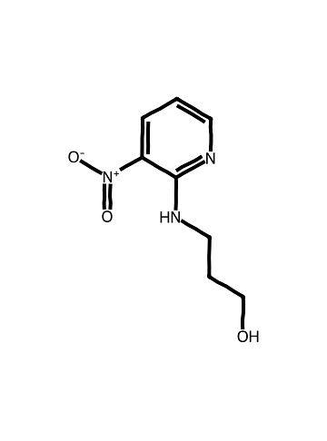 O=[N+]([O-])c1cccnc1NCCCO